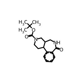 CC(C)(C)OC(=O)N1CCC2c3ccccc3C(=O)NCC2C1